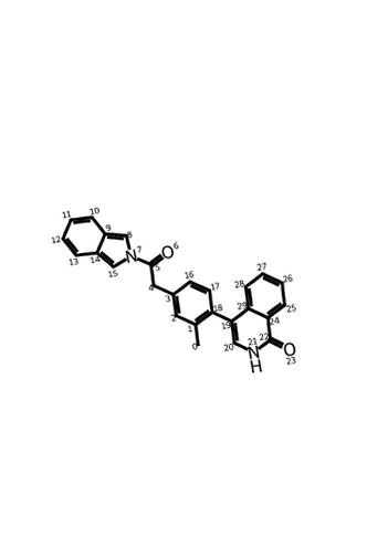 Cc1cc(CC(=O)n2cc3ccccc3c2)ccc1-c1c[nH]c(=O)c2ccccc12